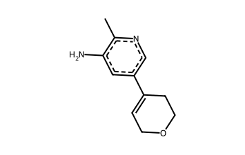 Cc1ncc(C2=CCOCC2)cc1N